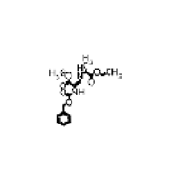 CCOC(=O)C(C)N/C=C(/NC(=O)OCc1ccccc1)C(=O)OC